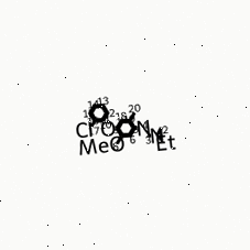 CCN(C)C=Nc1cc(OC)c(Oc2ccccc2Cl)cc1C